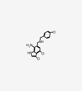 Nc1c(CNCc2ccc(Cl)cc2)cc(Cl)c2c(Cl)c[nH]c12